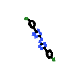 Clc1ccc(-c2nnc(N=Nc3nnc(-c4ccc(Cl)cc4)nn3)nn2)cc1